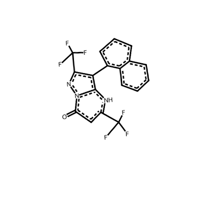 O=c1cc(C(F)(F)F)[nH]c2c(-c3cccc4ccccc34)c(C(F)(F)F)nn12